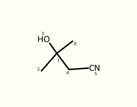 CC(C)(O)CC#N